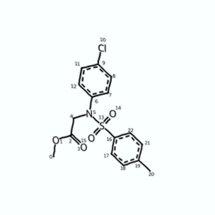 COC(=O)CN(c1ccc(Cl)cc1)S(=O)(=O)c1ccc(C)cc1